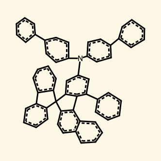 c1ccc(-c2ccc(N(c3ccc(-c4ccccc4)cc3)c3cc(-c4ccccc4)c4c(c3)C3(c5ccccc5-c5ccccc53)c3ccc5ccccc5c3-4)cc2)cc1